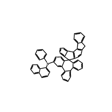 c1ccc(N(c2ccc3c(c2)-c2ccccc2-c2ccccc2C32c3ccccc3-c3c2ccc2c3-c3ccccc3C2)c2cccc3ccccc23)cc1